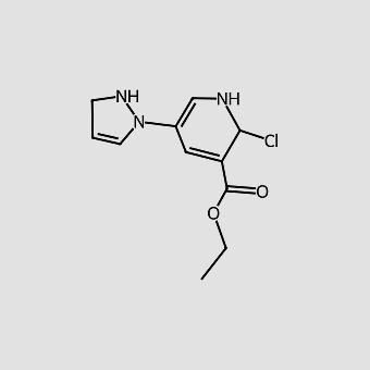 CCOC(=O)C1=CC(N2C=CCN2)=CNC1Cl